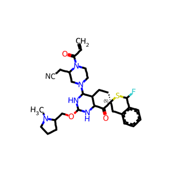 C=CC(=O)N1CCN(C2NC(OCC3CCCN3C)NC3C(=O)[C@]4(CCC32)Cc2ccccc2C(F)S4)CC1CC#N